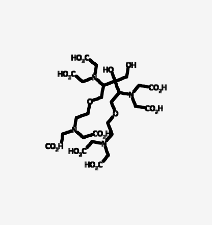 O=C(O)CN(CCOCC(N(CC(=O)O)CC(=O)O)C(O)(CO)C(COCCN(CC(=O)O)CC(=O)O)N(CC(=O)O)CC(=O)O)CC(=O)O